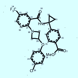 COC(=O)c1ccc(C2(NC(=O)c3cc(C(F)(F)F)cnc3N3CC(Oc4ccc(Cl)cc4)C3)CC2)cc1